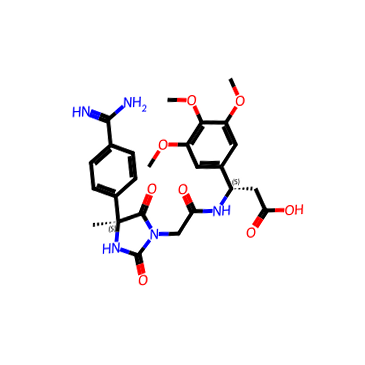 COc1cc([C@H](CC(=O)O)NC(=O)CN2C(=O)N[C@@](C)(c3ccc(C(=N)N)cc3)C2=O)cc(OC)c1OC